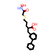 O=C(CSCCCC(Cc1cccc(-c2ccccc2)c1)C(=O)O)NO